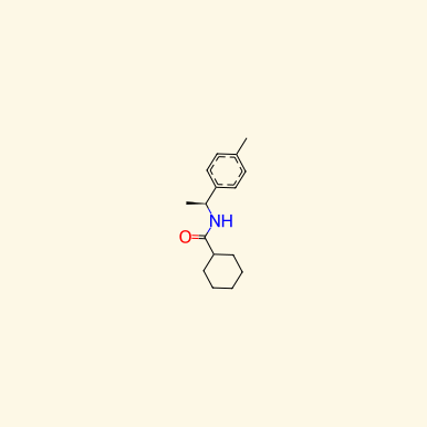 Cc1ccc([C@H](C)NC(=O)C2CCCCC2)cc1